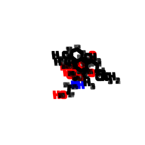 C=C[C@@]1(C)CC(=O)[C@]2(O)[C@@]3(C)CCCC(C)(C)[C@@H]3C(O)(O)[C@H](OC(=O)NCCO)[C@@]2(C)O1